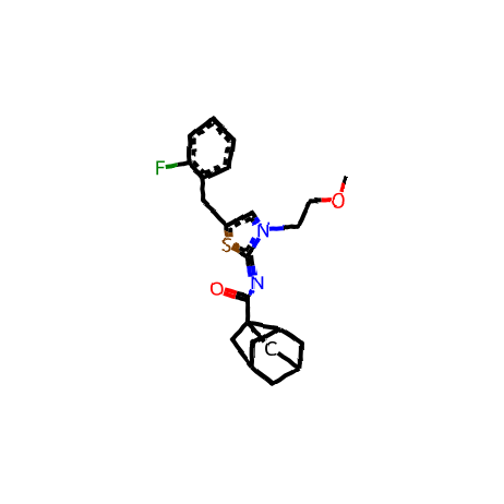 COCCn1cc(Cc2ccccc2F)s/c1=N\C(=O)C12CC3CC(CC1C3)C2